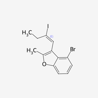 CC/C(I)=C\c1c(C)oc2cccc(Br)c12